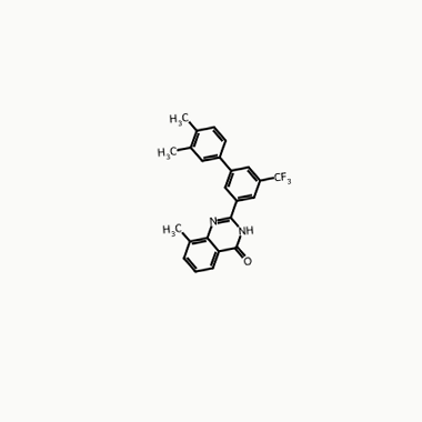 Cc1ccc(-c2cc(-c3nc4c(C)cccc4c(=O)[nH]3)cc(C(F)(F)F)c2)cc1C